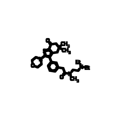 CCN(CC)CCN(C)C(=O)Cc1cccc(-c2c(N3CCOCC3)sc3c2CC(C)(C)CC3=O)c1